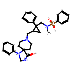 CN(CC1(c2ccccc2)CC1CN1CCC2(CC1)C(=O)NCN2c1ccccc1)S(=O)(=O)c1ccccc1